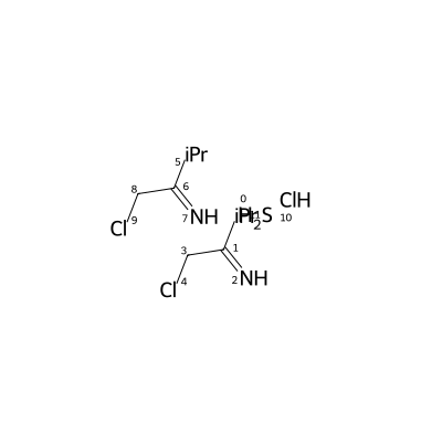 CC(C)C(=N)CCl.CC(C)C(=N)CCl.Cl.S